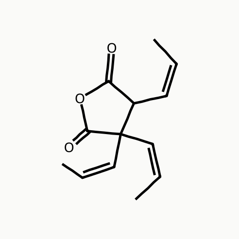 C/C=C\C1C(=O)OC(=O)C1(/C=C\C)/C=C\C